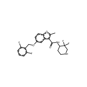 Cc1oc2ccc(OCc3c(F)cccc3F)cc2c1C(=O)NC1CCNCC1(F)F